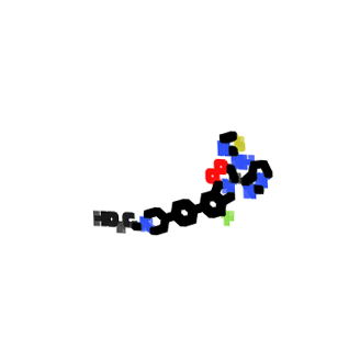 O=C(O)CN1CCC(c2ccc(-c3cc(F)c4c(c3)C(=O)N([C@H](C(=O)Nc3nccs3)c3ncn5c3CCC5)C4)cc2)CC1